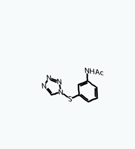 CC(=O)Nc1cccc(Sn2cnnn2)c1